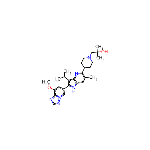 COc1cc(-c2[nH]c3cc(C)c(C4CCN(CC(C)(C)O)CC4)nc3c2C(C)C)cn2ncnc12